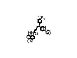 N#Cc1nccc2c(NC(=O)C=CC=C(c3ccc(C(F)(F)F)cc3)c3ccc(N4CCOCC4)nc3)cccc12